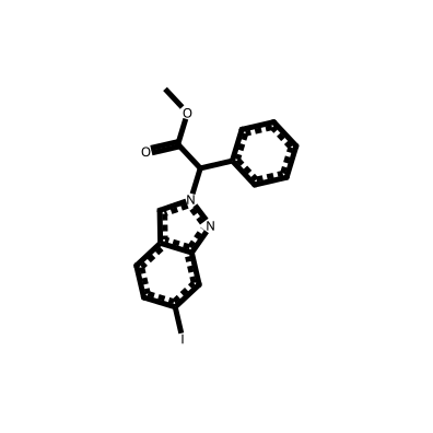 COC(=O)C(c1ccccc1)n1cc2ccc(I)cc2n1